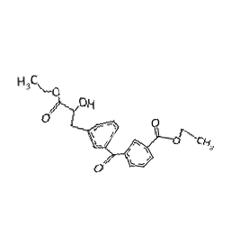 CCOC(=O)c1cccc(C(=O)c2cccc(CC(O)C(=O)OCC)c2)c1